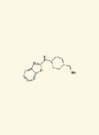 CC(C)(C)CC1CCC(Nc2nc3ccccc3o2)CC1